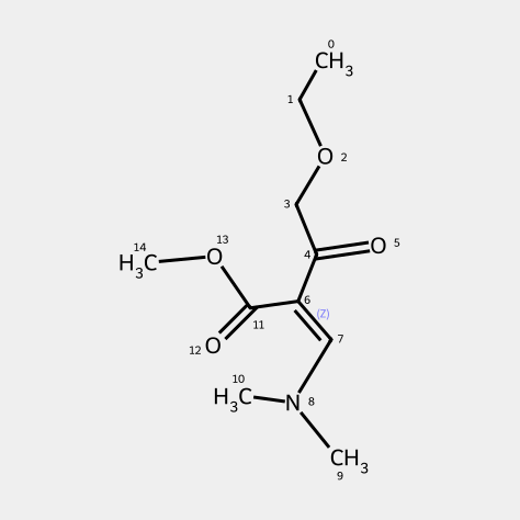 CCOCC(=O)/C(=C/N(C)C)C(=O)OC